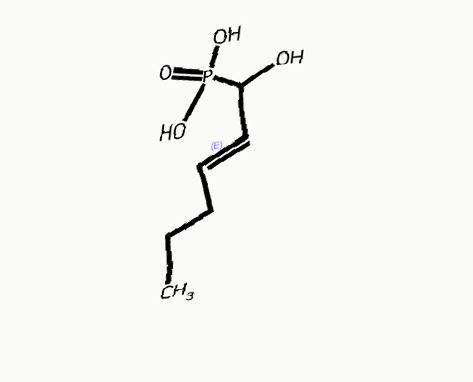 CCC/C=C/C(O)P(=O)(O)O